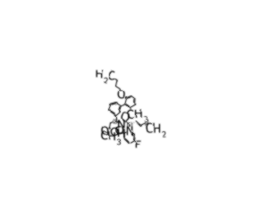 C=CCCOc1cccc(C)c1-c1cccc([C@H](CC(=O)OC)NC(=O)[C@H](CCC=C)n2cc(F)ccc2=O)c1